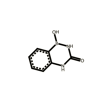 O=C1NB(O)c2ccccc2N1